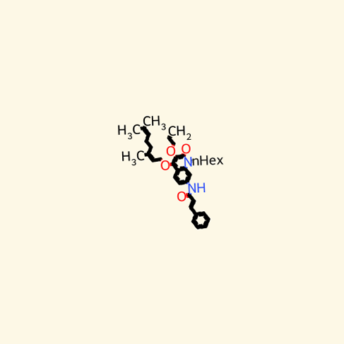 C=CCOc1c(OCC=C(C)CCC=C(C)C)c2ccc(NC(=O)C=Cc3ccccc3)cc2n(CCCCCC)c1=O